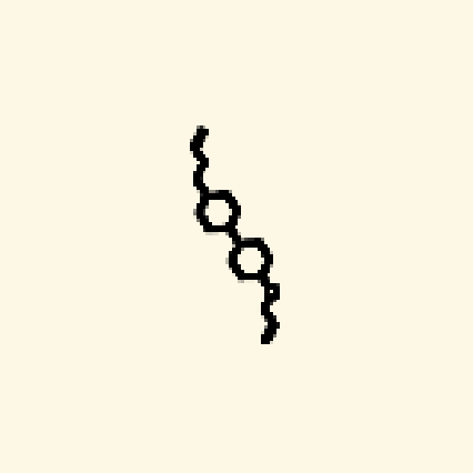 C=CCCC1CCC(C2CCC(OCC=C)CC2)CC1